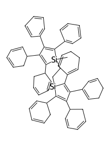 C[Si]1(CC[Si]2(C)C(c3ccccc3)=C(c3ccccc3)C(C3C=CC=CC3)=C2C2C=CC=CC2)C(C2=CCCC=C2)=C(C2=CCCC=C2)C(C2C=CC=CC2)=C1C1C=CC=CC1